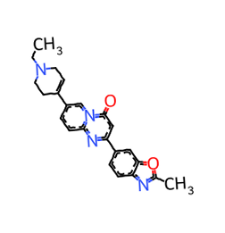 CCN1CC=C(c2ccc3nc(-c4ccc5nc(C)oc5c4)cc(=O)n3c2)CC1